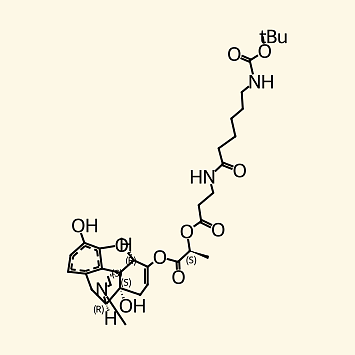 C[C@H](OC(=O)CCNC(=O)CCCCCNC(=O)OC(C)(C)C)C(=O)OC1=CC[C@@]2(O)[C@H]3Cc4ccc(O)c5c4[C@@]2(CCN3C)[C@H]1O5